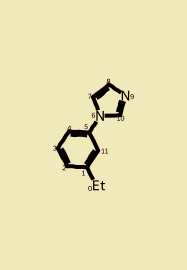 CCc1cccc(-n2ccnc2)c1